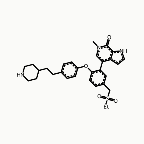 CCS(=O)(=O)Cc1ccc(Oc2ccc(CCC3CCNCC3)cc2)c(-c2cn(C)c(=O)c3[nH]ccc23)c1